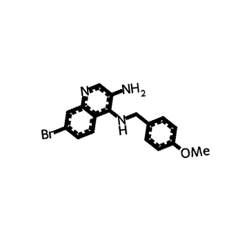 COc1ccc(CNc2c(N)cnc3cc(Br)ccc23)cc1